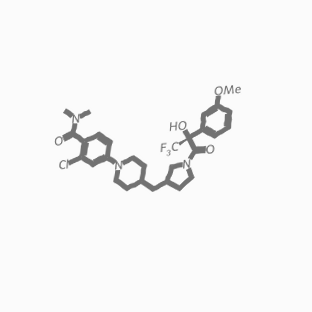 COc1cccc([C@@](O)(C(=O)N2CCC(CC3CCN(c4ccc(C(=O)N(C)C)c(Cl)c4)CC3)C2)C(F)(F)F)c1